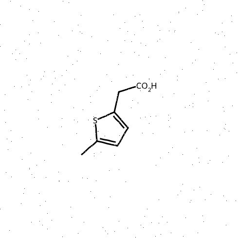 Cc1ccc(CC(=O)O)s1